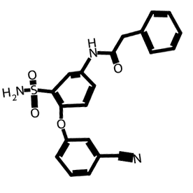 N#Cc1cccc(Oc2ccc(NC(=O)Cc3ccccc3)cc2S(N)(=O)=O)c1